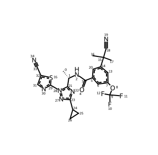 C[C@H](NC(=O)c1cc(OC(F)(F)F)cc(C(C)(C)C#N)c1)c1nc(C2CC2)nn1-c1ncc(C#N)s1